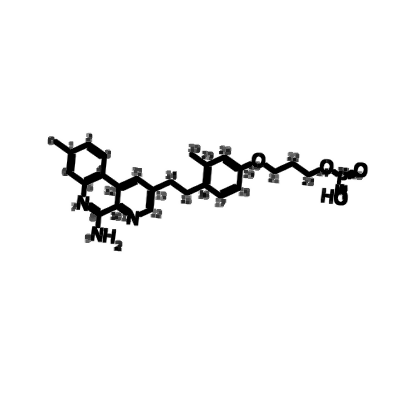 Cc1ccc2c(c1)nc(N)c1ncc(CCc3ccc(OCCCO[PH](=O)O)cc3C)cc12